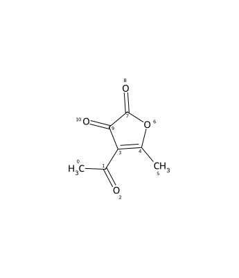 CC(=O)C1=C(C)OC(=O)C1=O